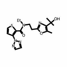 CCN(CCc1nc(C(C)(C)O)c(C)o1)C(=O)c1sccc1-n1nccn1